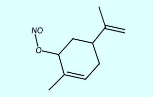 C=C(C)C1CC=C(C)C(ON=O)C1